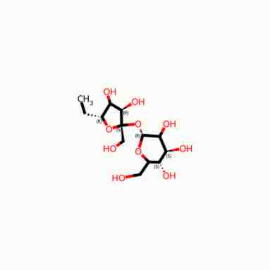 CC[C@H]1O[C@@](CO)(O[C@H]2OC(CO)[C@@H](O)[C@H](O)C2O)[C@H](O)C1O